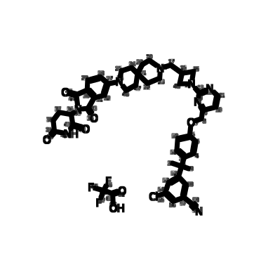 CC(C)(c1ccc(OCc2ccnc(N3CC(CN4CCC5(CC4)CCN(c4ccc6c(c4)C(=O)N(C4CCC(=O)NC4=O)C6=O)CC5)C3)n2)cc1)c1cc(Cl)cc(C#N)c1.O=C(O)C(F)(F)F